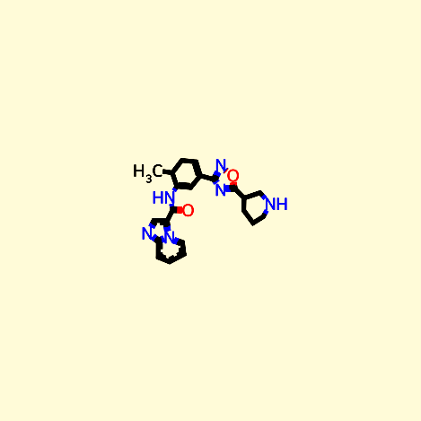 CC1CC=C(c2noc(C3CCCNC3)n2)C=C1NC(=O)c1cnc2ccccn12